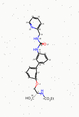 CCOC(=O)N[C@@H](COc1cccc(-c2cccc(NC(=O)NCc3ccccn3)c2)c1)C(=O)O